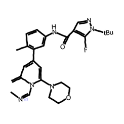 C=C1C=C(c2cc(NC(=O)c3cnn(C(C)(C)C)c3F)ccc2C)C=C(N2CCOCC2)N1/C=N\C